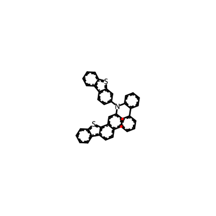 c1ccc(-c2ccccc2N(c2ccc3c(c2)sc2ccccc23)c2ccc3ccc4c5ccccc5sc4c3c2)cc1